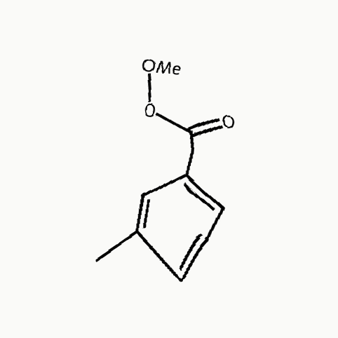 [CH2]OOC(=O)c1cccc(C)c1